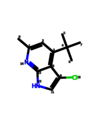 Cc1cc(C(C)(C)C)c2c(Cl)c[nH]c2n1